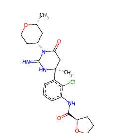 C[C@@H]1C[C@H](N2C(=N)N[C@](C)(c3cccc(NC(=O)[C@H]4CCCO4)c3Cl)CC2=O)CCO1